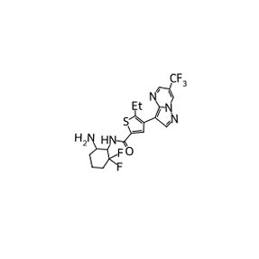 CCc1sc(C(=O)NC2C(N)CCCC2(F)F)cc1-c1cnn2cc(C(F)(F)F)cnc12